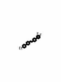 CCC1CCC(C2CCC(/C=C/C3CCC(c4ccc(F)c(F)c4)CC3)CC2)CC1